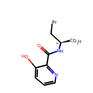 CC(C)C[C@H](NC(=O)c1ncccc1O)C(=O)O